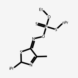 CCCSP(=S)(OCC)ON=C1SC(C(C)C)N=C1C